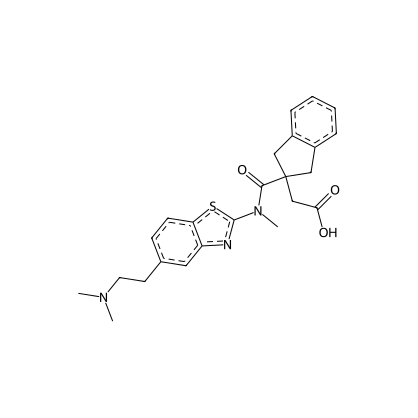 CN(C)CCc1ccc2sc(N(C)C(=O)C3(CC(=O)O)Cc4ccccc4C3)nc2c1